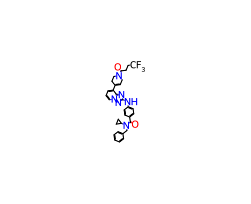 O=C(CCC(F)(F)F)N1CC=C(c2cccn3nc(Nc4ccc(C(=O)N(Cc5ccccc5)C5CC5)cc4)nc23)CC1